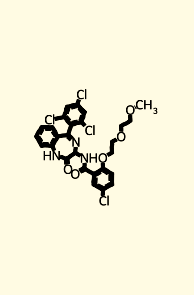 COCCOCCOc1ccc(Cl)cc1C(=O)NC1N=C(c2c(Cl)cc(Cl)cc2Cl)c2ccccc2NC1=O